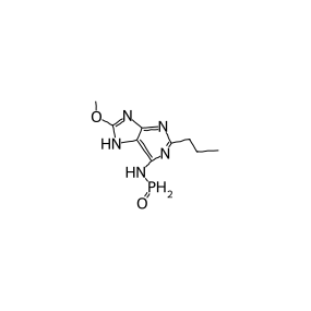 CCCc1nc(N[PH2]=O)c2[nH]c(OC)nc2n1